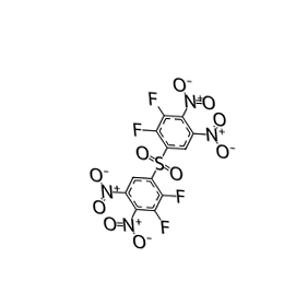 O=[N+]([O-])c1cc(S(=O)(=O)c2cc([N+](=O)[O-])c([N+](=O)[O-])c(F)c2F)c(F)c(F)c1[N+](=O)[O-]